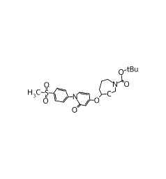 CC(C)(C)OC(=O)N1CCCC(Oc2ccn(-c3ccc(S(C)(=O)=O)cc3)c(=O)c2)CC1